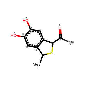 CSC1SC(C(=O)C(C)(C)C)c2cc(O)c(O)cc21